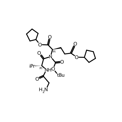 CC(C)[C@@H](NC(=O)CN)C(=O)N(C(=O)OC(C)(C)C)[C@H](CCC(=O)OC1CCCC1)C(=O)OC1CCCC1